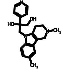 Cc1ccc2c(c1)c1c(n2CC(O)(CO)c2ccncc2)CCN(C)C1